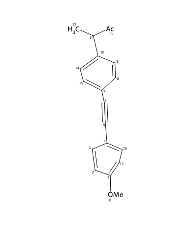 COc1ccc(C#Cc2ccc(C(C)C(C)=O)cc2)cc1